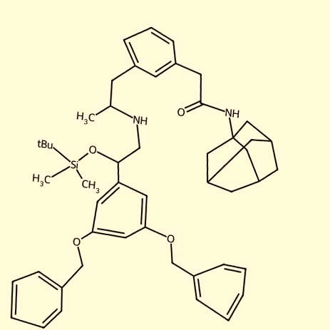 CC(Cc1cccc(CC(=O)NC23CC4CC(CC(C4)C2)C3)c1)NCC(O[Si](C)(C)C(C)(C)C)c1cc(OCc2ccccc2)cc(OCc2ccccc2)c1